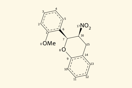 COc1ccccc1[C@@H]1Oc2ccccc2C[C@@H]1[N+](=O)[O-]